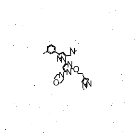 Cc1cccc(-c2cc(CN(C)C)n(-c3cc(N4CCOCC4)nc(OCCc4cnn(C)c4)n3)n2)c1